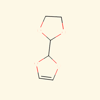 C1=COC([C]2OCCO2)O1